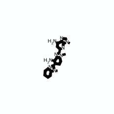 Cn1cnc2c(N)cc(-c3nc4c(N)c(-c5nc6ccccc6n5C)ccc4n3C)nc21